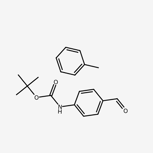 CC(C)(C)OC(=O)Nc1ccc(C=O)cc1.Cc1ccccc1